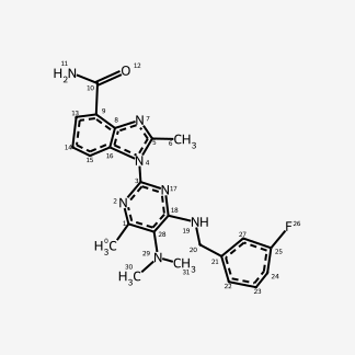 Cc1nc(-n2c(C)nc3c(C(N)=O)cccc32)nc(NCc2cccc(F)c2)c1N(C)C